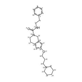 O=C(NCCc1ccccc1)N1CCc2sc(OCCCN3CCCCC3)cc2C1